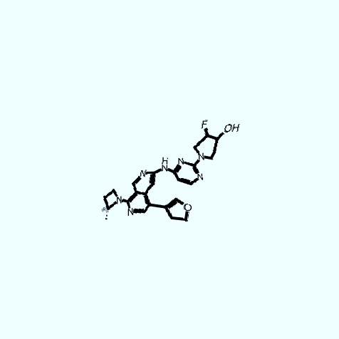 C[C@@H]1CCN1c1ncc(C2=COCC2)c2cc(Nc3ccnc(N4CCC(O)C(F)C4)n3)ncc12